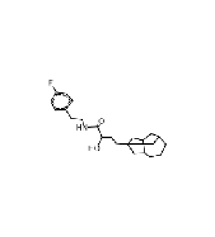 O=C(NCCc1ccc(F)cc1)C(O)CCC12CC3CCCC(C1)C(C3)C2